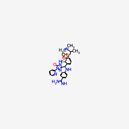 COC1(OCC(C)N(C)C)C=CC=C(C(Nc2ccc(C(=N)N)cc2)c2nn(-c3ccccn3)c(=O)[nH]2)C1F